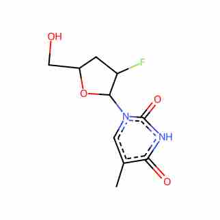 Cc1cn(C2OC(CO)CC2F)c(=O)[nH]c1=O